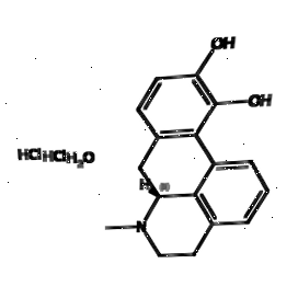 CN1CCc2cccc3c2[C@H]1Cc1ccc(O)c(O)c1-3.Cl.Cl.O